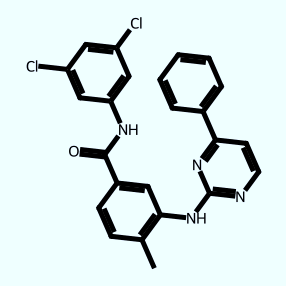 Cc1ccc(C(=O)Nc2cc(Cl)cc(Cl)c2)cc1Nc1nccc(-c2ccccc2)n1